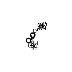 CC(C)S(=O)(=O)NCCOc1ccc(C2(F)CCCCC2NS(=O)(=O)C(C)C)cc1